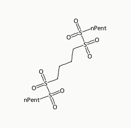 CCCCCS(=O)(=O)S(=O)(=O)CCCCS(=O)(=O)S(=O)(=O)CCCCC